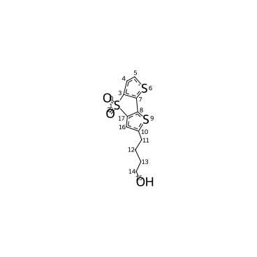 O=S1(=O)c2ccsc2-c2sc(CCCCO)cc21